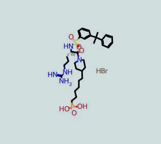 Br.CC(C)(c1ccccc1)c1cccc(S(=O)(=O)N[C@@H](CCCNC(=N)N)C(=O)N2CCC(CCCCCCP(=O)(O)O)CC2)c1